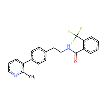 Cc1ncccc1-c1ccc(CCNC(=O)c2ccccc2C(F)(F)F)cc1